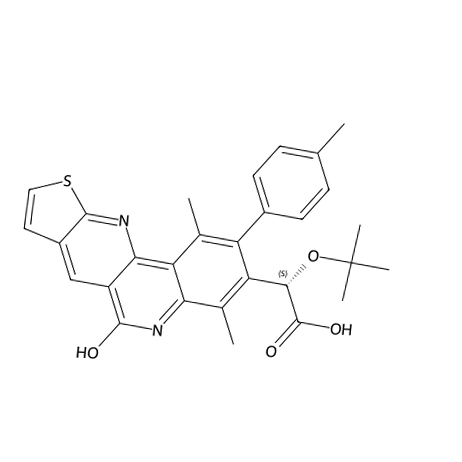 Cc1ccc(-c2c([C@H](OC(C)(C)C)C(=O)O)c(C)c3nc(O)c4cc5ccsc5nc4c3c2C)cc1